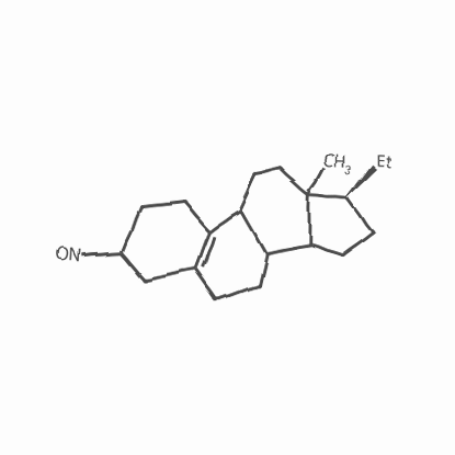 CC[C@H]1CCC2C3CCC4=C(CCC(N=O)C4)C3CCC21C